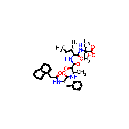 CC[C@H](C)[C@H](NC(=O)C(=O)C(C)NC(=O)[C@H](Cc1ccccc1)NC(=O)Cc1cccc2ccccc12)C(=O)NC(C)(C)C(=O)O